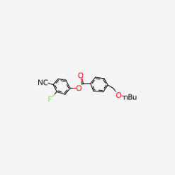 CCCCOCc1ccc(C(=O)Oc2ccc(C#N)c(F)c2)cc1